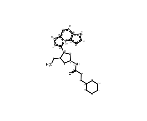 CC[C@@H]1C[C@H](NC(=O)CCC2CCCCC2)C[C@@H]1c1nnc2cnc3[nH]ccc3n12